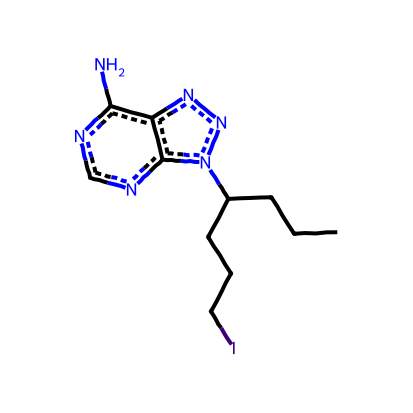 CCCC(CCCI)n1nnc2c(N)ncnc21